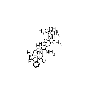 C[C@H](C[C@H](O)[C@@H](N)CN1CC(=O)N(c2ccccc2C(F)(F)F)CC1(C)C)C(=O)NCC(C)(C)C